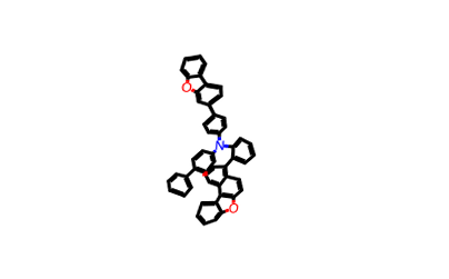 c1ccc(-c2ccc(N(c3ccc(-c4ccc5c(c4)oc4ccccc45)cc3)c3ccccc3-c3cccc4c3ccc3oc5ccccc5c34)cc2)cc1